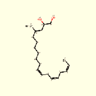 CC/C=C\C/C=C\C/C=C\CCCCCCC(CC(O)CO)C(=O)O